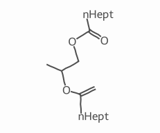 C=C(CCCCCCC)OC(C)COC(=O)CCCCCCC